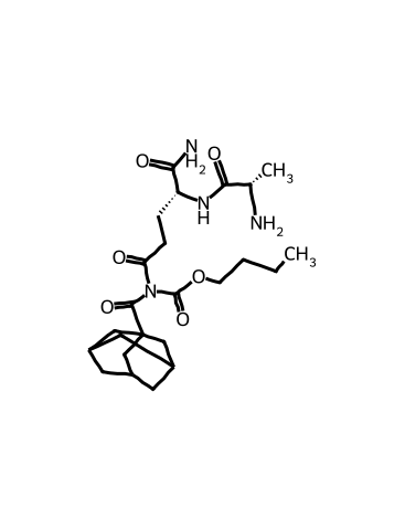 CCCCOC(=O)N(C(=O)CC[C@@H](NC(=O)[C@H](C)N)C(N)=O)C(=O)C12CC3CC(CC(C3)C1)C2